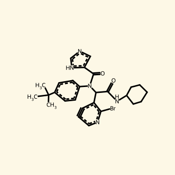 CC(C)(C)c1ccc(N(C(=O)c2cnc[nH]2)C(C(=O)NC2CCCCC2)c2c#ccnc2Br)cc1